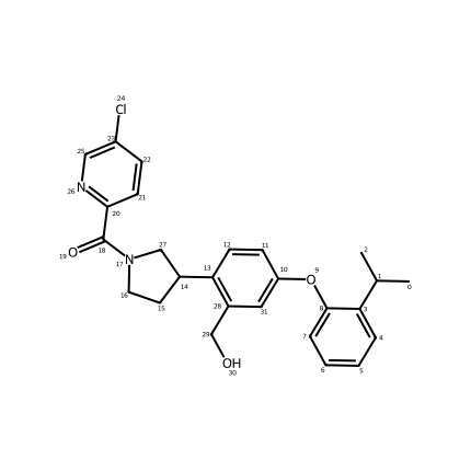 CC(C)c1ccccc1Oc1ccc(C2CCN(C(=O)c3ccc(Cl)cn3)C2)c(CO)c1